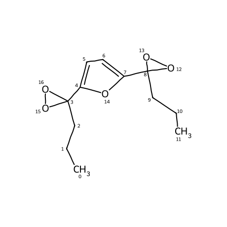 CCCC1(c2ccc(C3(CCC)OO3)o2)OO1